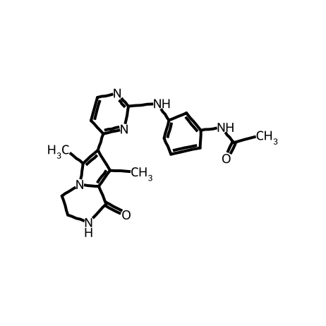 CC(=O)Nc1cccc(Nc2nccc(-c3c(C)c4n(c3C)CCNC4=O)n2)c1